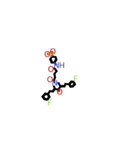 O=C(CCCC(=O)N1C/C(=C\Cc2cccc(F)c2)C(=O)/C(=C/Cc2cccc(F)c2)C1)NC1=CCC(=S(=O)=O)C=C1